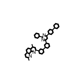 Cc1ccc2ccc3c(C)cc(-c4cccc(-c5cccc(-c6cc(-c7ccc(-c8ccccc8)cc7)nc(-c7ccccc7)n6)c5)c4)nc3c2n1